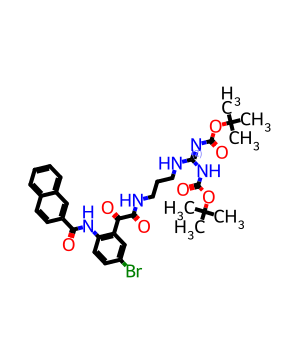 CC(C)(C)OC(=O)/N=C(/NCCCNC(=O)C(=O)c1cc(Br)ccc1NC(=O)c1ccc2ccccc2c1)NC(=O)OC(C)(C)C